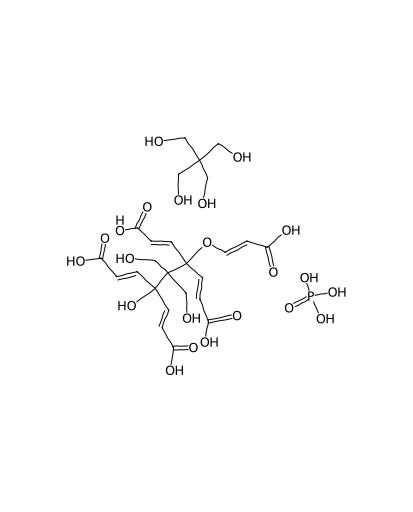 O=C(O)C=COC(C=CC(=O)O)(C=CC(=O)O)C(CO)(CO)C(O)(C=CC(=O)O)C=CC(=O)O.O=P(O)(O)O.OCC(CO)(CO)CO